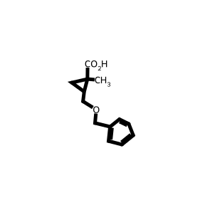 CC1(C(=O)O)CC1COCc1ccccc1